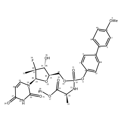 COc1ccc(-c2ccc(OP(=O)(N[C@@H](C)C(=O)OC(C)C)OC[C@H]3O[C@@H](n4ccc(=O)[nH]c4=O)[C@](C)(F)[C@@H]3O)cc2)cc1